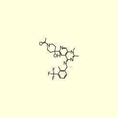 CC(=O)N1CCC(O)(c2cc3/c(=N/[C@H](C)c4cccc(C(F)(F)F)c4C)nc(C)n(C)c3cn2)CC1